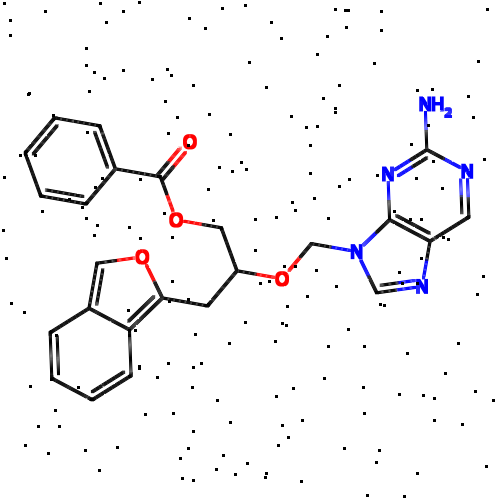 Nc1ncc2ncn(COC(COC(=O)c3ccccc3)Cc3occ4ccccc34)c2n1